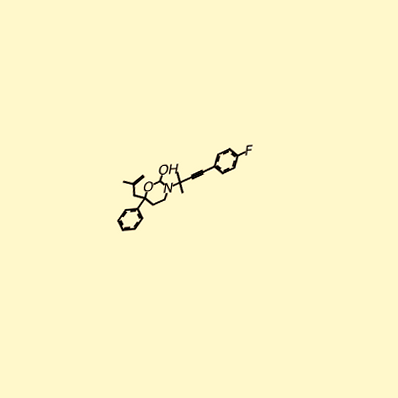 C=C(C)CC1(c2ccccc2)CCN(C(C)(C)C#Cc2ccc(F)cc2)C(O)O1